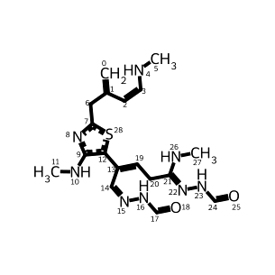 C=C(/C=C\NC)Cc1nc(NC)c(C(/C=N\NC=O)=C/C/C(=N/NC=O)NC)s1